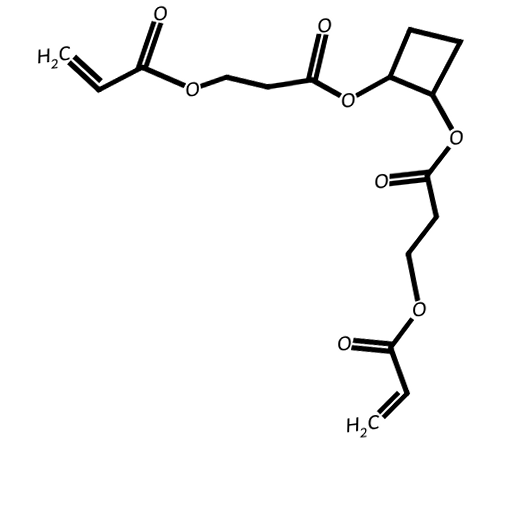 C=CC(=O)OCCC(=O)OC1CCC1OC(=O)CCOC(=O)C=C